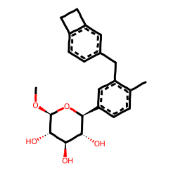 CO[C@H]1O[C@@H](c2ccc(C)c(Cc3ccc4c(c3)CC4)c2)[C@H](O)[C@@H](O)[C@@H]1O